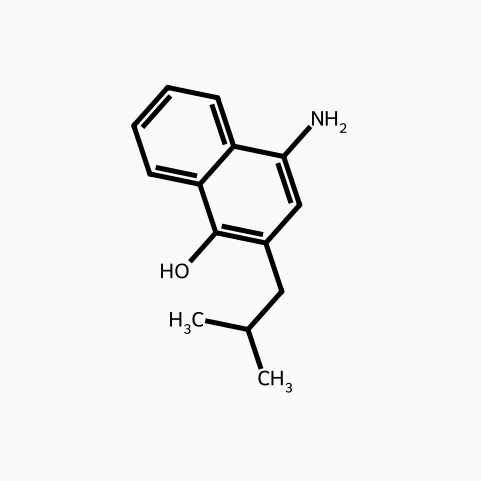 CC(C)Cc1cc(N)c2ccccc2c1O